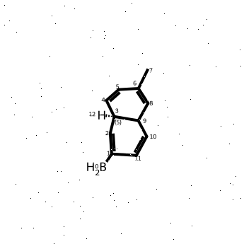 BC1=C[C@H]2C=CC(C)=CC2C=C1